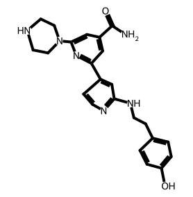 NC(=O)c1cc(-c2ccnc(NCCc3ccc(O)cc3)c2)nc(N2CCNCC2)c1